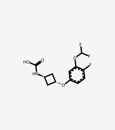 O=C(O)N[C@H]1C[C@H](Oc2ccc(F)c(OC(F)F)c2)C1